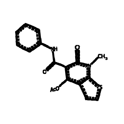 CC(=O)Oc1c(C(=O)Nc2ccccc2)c(=O)n(C)c2sccc12